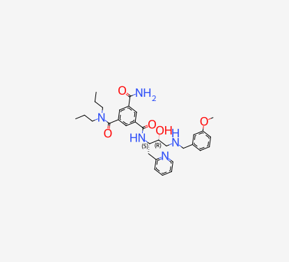 CCCN(CCC)C(=O)c1cc(C(N)=O)cc(C(=O)N[C@@H](Cc2ccccn2)[C@H](O)CNCc2cccc(OC)c2)c1